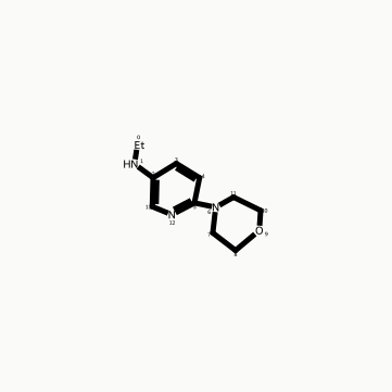 CCNc1ccc(N2CCOCC2)nc1